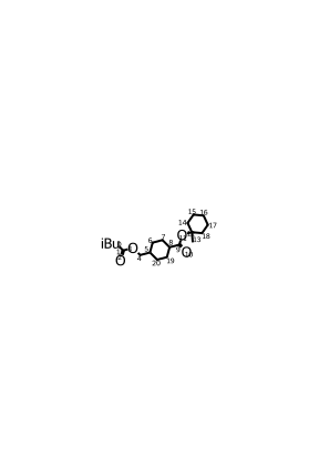 CCC(C)C(=O)OCC1CCC(C(=O)OC2(C)CCCCC2)CC1